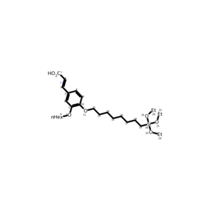 CCCCCCOc1cc(/C=C/C(=O)O)ccc1OCCCCCCCC[Si](OCC)(OCC)OCC